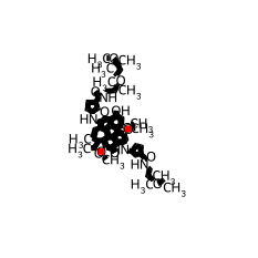 CCOC(C)(C)CCNC(=O)C1CCC(Nc2cc(OC)c3c4c(OC)cc(O)c5c(=O)c(NC6CCC(C(=O)NCCC(C)(C)OCCC(C)(C)OC)C6)c6c(c7c(c(OC)c(=O)c2c37)C(C(C)=O)C(C)=C6)c54)C1